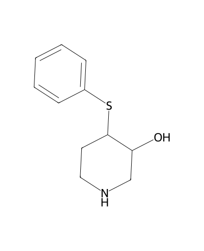 OC1CNCCC1Sc1ccccc1